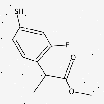 COC(=O)C(C)c1ccc(S)cc1F